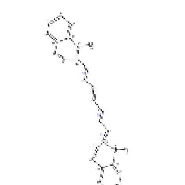 CCN1/C(=C/C=C/C=C/C=C/c2ccc3ccccc3[n+]2CC)C=Cc2ccccc21